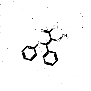 CO/C(C(=O)O)=C(/Oc1ccccc1)c1ccccc1